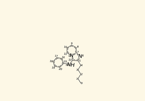 CCCCCc1nc2ccccn2c1Nc1ccccc1